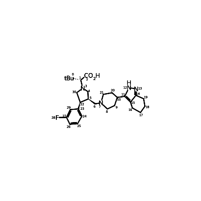 CC(C)(C)[C@H](C(=O)O)N1C[C@@H](CN2CCC(c3[nH]nc4c3CCCC4)CC2)[C@@H](c2cccc(F)c2)C1